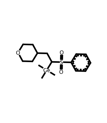 [CH3][Ge]([CH3])([CH3])[CH](CC1CCOCC1)S(=O)(=O)c1ccccc1